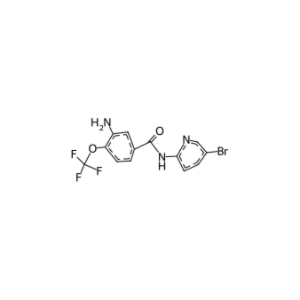 Nc1cc(C(=O)Nc2ccc(Br)cn2)ccc1OC(F)(F)F